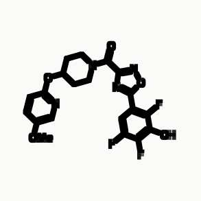 COc1ccc(OC2CCN(C(=O)c3noc(-c4cc(F)c(F)c(O)c4F)n3)CC2)nc1